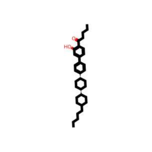 CCCCCC1CCC([C@H]2CC[C@@H](c3ccc(-c4ccc(C(=O)CCCC)c(O)c4)cc3)CC2)CC1